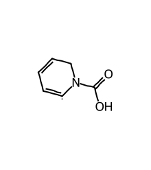 O=C(O)N1[C]=CC=CC1